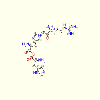 N=C(N)NCCC[C@H](N)C(=O)On1cnc(C[C@H](N)C(=O)OC(=O)[C@@H](N)Cc2cnc[nH]2)c1